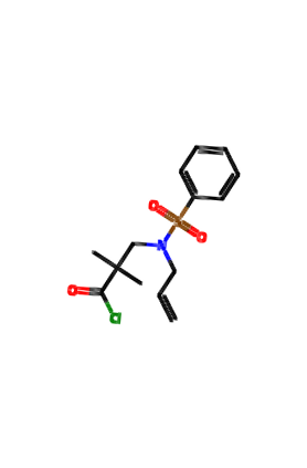 C=CCN(CC(C)(C)C(=O)Cl)S(=O)(=O)c1ccccc1